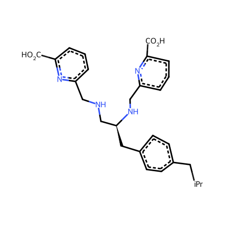 CC(C)Cc1ccc(C[C@@H](CNCc2cccc(C(=O)O)n2)NCc2cccc(C(=O)O)n2)cc1